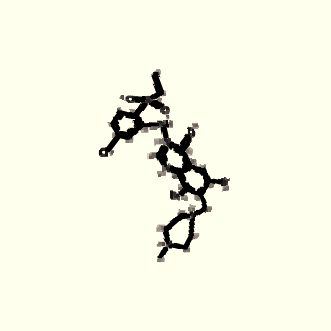 CCS(=O)(=O)c1ccc(Cl)cc1Nn1cnc2c(Br)c(CN3CCN(C)CC3)c(Br)cc2c1=O